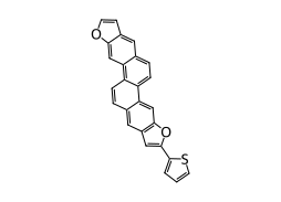 c1csc(-c2cc3cc4ccc5c6cc7occc7cc6ccc5c4cc3o2)c1